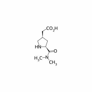 CN(C)C(=O)[C@@H]1C[C@H](CC(=O)O)CN1